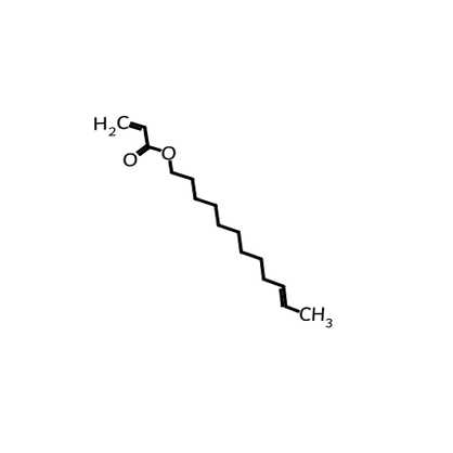 C=CC(=O)OCCCCCCCCC/C=C/C